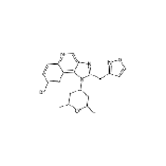 CC1CC(n2c(Cc3ccon3)nc3cnc4ccc(Br)cc4c32)CC(C)O1